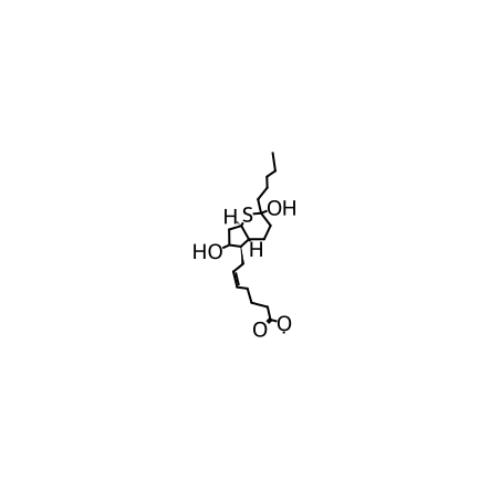 CCCCCC1(O)CC[C@H]2[C@@H](CC(O)[C@@H]2C/C=C\CCCC(=O)OC)S1